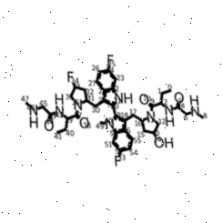 CCC(NC(=O)CNC)C(=O)N1CC(O)CC1Cc1c(-c2[nH]c3cc(F)ccc3c2CC2CC(F)CN2C(=O)C(CC)NC(=O)CNC)n(C)c2cc(F)ccc12